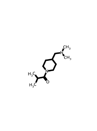 CC(C)C(=O)N1CCC(CN(C)C)CC1